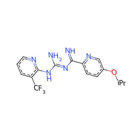 CC(C)Oc1ccc(C(=N)/N=C(\N)Nc2ncccc2C(F)(F)F)nc1